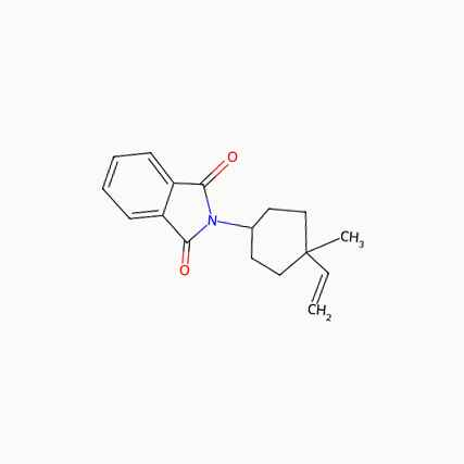 C=CC1(C)CCC(N2C(=O)c3ccccc3C2=O)CC1